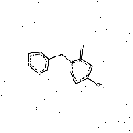 Cc1ccn(Cc2cccnc2)c(=O)c1